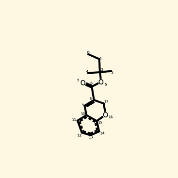 CCC(C)(C)OC(=O)C1=Cc2ccccc2OC1